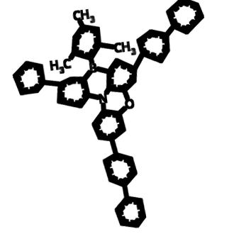 Cc1cc(C)c(B2c3cc(-c4ccccc4)ccc3N3c4ccc(-c5ccc(-c6ccccc6)cc5)cc4Oc4cc(-c5ccc(-c6ccccc6)cc5)cc2c43)c(C)c1